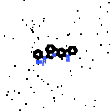 Nc1ccccc1NC1Cn2c3cc4[nH]c5ccccc5c4cc3c3cccc1c32